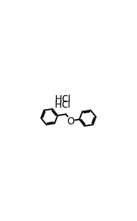 Cl.Cl.c1ccc(COc2ccccc2)cc1